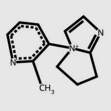 Cc1ncccc1[N+]12C=CN=C1CCC2